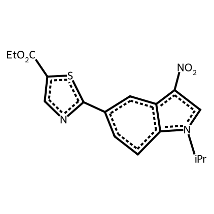 CCOC(=O)c1cnc(-c2ccc3c(c2)c([N+](=O)[O-])cn3C(C)C)s1